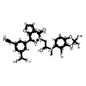 CN(C(=O)Cn1nc(-c2cc(C#N)cc(C(F)F)c2)c2occc2c1=O)c1ccc2c(c1F)OC(F)(F)O2